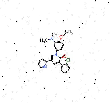 CCOc1ccc(-n2cc(-c3ccccn3)cc(-c3ccccc3Cl)c2=O)cc1N(C)C